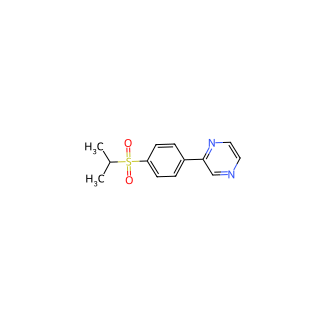 CC(C)S(=O)(=O)c1ccc(-c2cnccn2)cc1